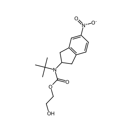 CC(C)(C)N(C(=O)OCCO)C1Cc2ccc([N+](=O)[O-])cc2C1